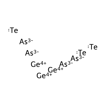 [As-3].[As-3].[As-3].[As-3].[Ge+4].[Ge+4].[Ge+4].[Te].[Te].[Te]